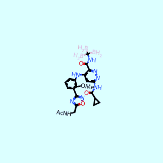 BC(B)(B)NC(=O)c1nnc(NC(=O)C2CC2)cc1Nc1cccc(-c2noc(CNC(C)=O)n2)c1OC